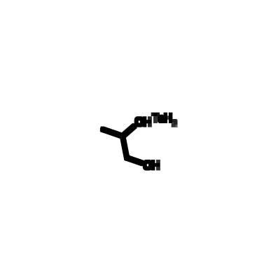 CC(O)CO.[TeH2]